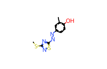 CSc1nsc(/N=N/c2ccc(O)c(C)c2)n1